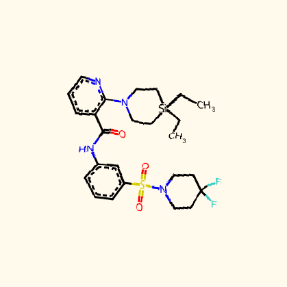 CC[Si]1(CC)CCN(c2ncccc2C(=O)Nc2cccc(S(=O)(=O)N3CCC(F)(F)CC3)c2)CC1